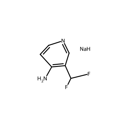 Nc1ccncc1C(F)F.[NaH]